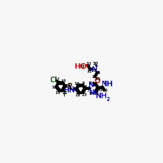 CC(=N)c1c(N)nc(-c2ccc(NSc3cc(Cl)ccc3F)cc2)nc1OCCN(C)CCO